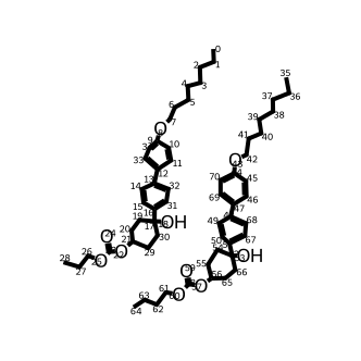 CCCCCCCCOc1ccc(-c2ccc(C3(O)CCC(OC(=O)OCCC)CC3)cc2)cc1.CCCCCCCCOc1ccc(-c2ccc(C3(O)CCC(OC(=O)OCCCC)CC3)cc2)cc1